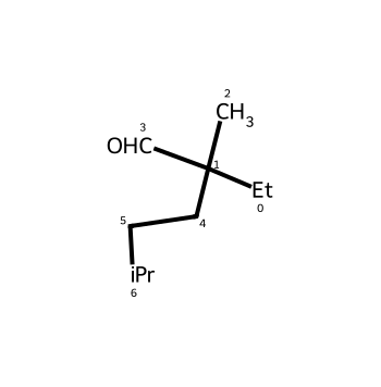 CCC(C)(C=O)CCC(C)C